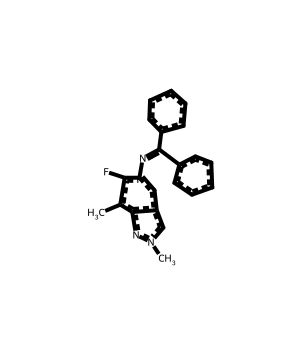 Cc1c(F)c(N=C(c2ccccc2)c2ccccc2)cc2cn(C)nc12